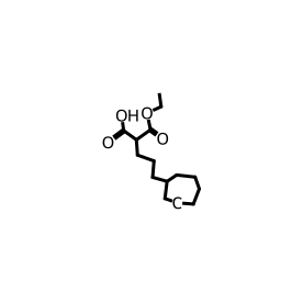 CCOC(=O)C(CCCC1CCCCCC1)C(=O)O